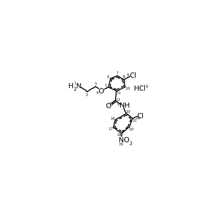 Cl.NCCOc1ccc(Cl)cc1C(=O)Nc1ccc([N+](=O)[O-])cc1Cl